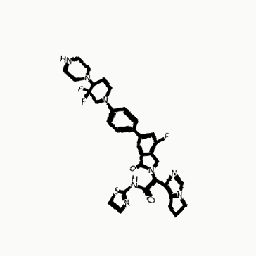 O=C(Nc1nccs1)C(c1ncn2c1CCC2)N1Cc2c(F)cc(-c3ccc(N4CCC(N5CCNCC5)C(F)(F)C4)cc3)cc2C1=O